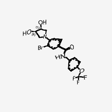 O=C(Nc1ccc(OC(F)(F)F)cc1)c1ccc(N2C[C@@H](O)[C@@H](O)C2)c(Br)c1